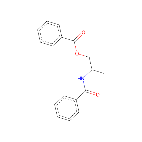 CC(COC(=O)c1ccccc1)NC(=O)c1ccccc1